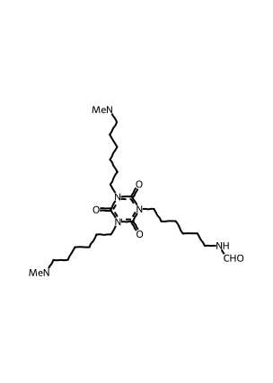 CNCCCCCCn1c(=O)n(CCCCCCNC)c(=O)n(CCCCCCNC=O)c1=O